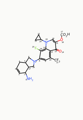 NC1C=CCC2CN(c3cc(C(F)(F)F)c4c(=O)c(OC(=O)O)cn(C5CC5)c4c3F)CC12